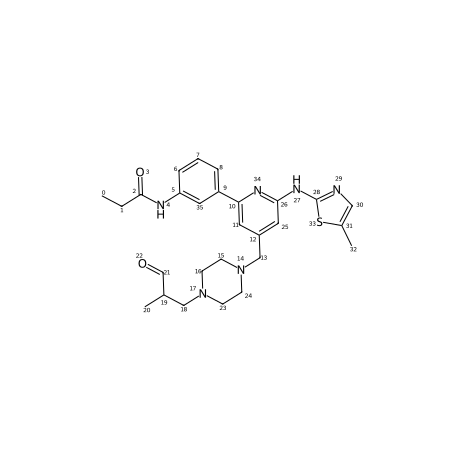 CCC(=O)Nc1cccc(-c2cc(CN3CCN(CC(C)C=O)CC3)cc(Nc3ncc(C)s3)n2)c1